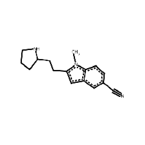 Cn1c(CCC2CCCN2)cc2cc(C#N)ccc21